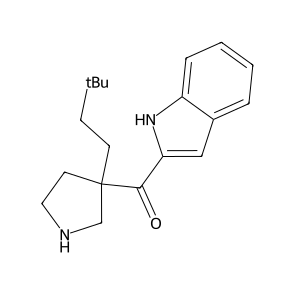 CC(C)(C)CCC1(C(=O)c2cc3ccccc3[nH]2)CCNC1